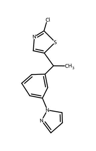 CC(c1cccc(-n2cccn2)c1)c1cnc(Cl)s1